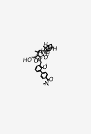 C=C(C)[C@@H]1[C@H](CO)ON(Cc2cccc(-c3ccc(C(=O)N(C)C)cc3)c2OC)[C@@H]1C(=O)N[C@H]1C[C@H]2C[C@@H]([C@@H]1C)C2(C)C